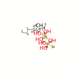 C.CCCCC.CCCCC.OP(O)(O)=S.OP(O)(O)=S